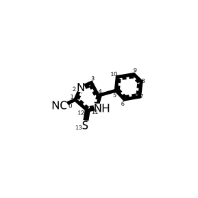 N#Cc1ncc(-c2ccccc2)[nH]c1=S